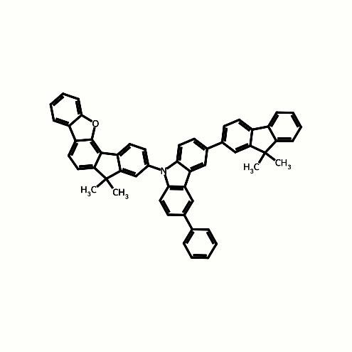 CC1(C)c2ccccc2-c2ccc(-c3ccc4c(c3)c3cc(-c5ccccc5)ccc3n4-c3ccc4c(c3)C(C)(C)c3ccc5c(oc6ccccc65)c3-4)cc21